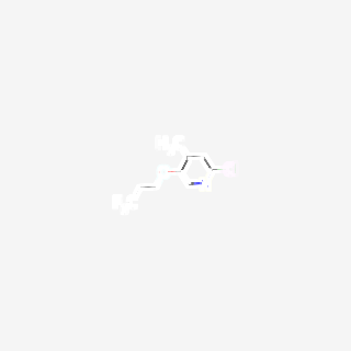 Cc1cc(Cl)ncc1OCCC(F)(F)F